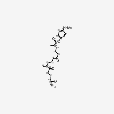 CC(=O)Nc1ccc(OC(=O)N(C)CCCN(C)CCCN(C)C(=O)CCCC(N)=O)cc1